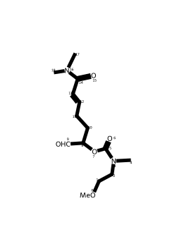 COCCN(C)C(=O)OC(C=O)CCC=CC(=O)N(C)C